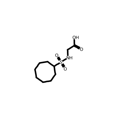 O=C(O)CNS(=O)(=O)C1CCCCCCC1